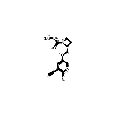 C#Cc1cc(OC[C@@H]2CCN2C(=O)OC(C)(C)C)cnc1Cl